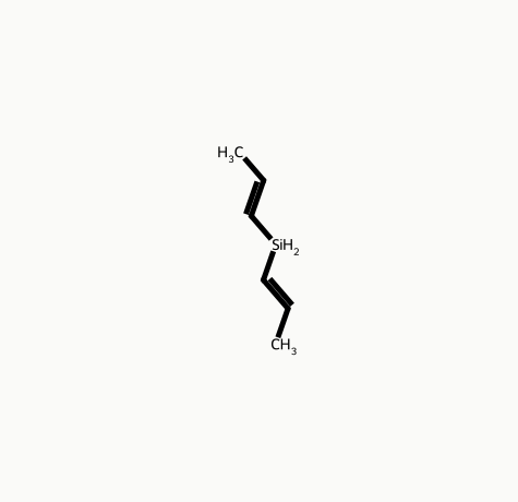 CC=C[SiH2]C=CC